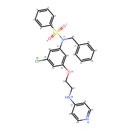 O=S(=O)(c1ccccc1)N(Cc1ccccc1)c1cc(Cl)cc(OCCNc2ccncc2)c1